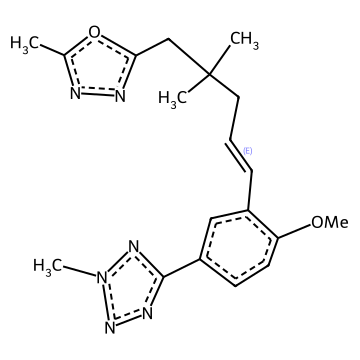 COc1ccc(-c2nnn(C)n2)cc1/C=C/CC(C)(C)Cc1nnc(C)o1